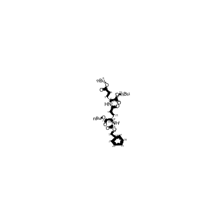 CCCCOC(=O)CC[C@@H](NC(=O)CC[C@H](NC(=O)OCc1ccccc1)C(=O)OCCCC)C(=O)OCCCC